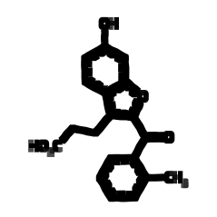 Cc1ccccc1C(=O)c1oc2cc(O)ccc2c1CCC(=O)O